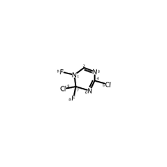 FN1C=NC(Cl)=NC1(F)Cl